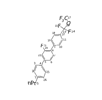 CCCc1ccc(-c2ccc(-c3ccc(C(F)(F)OC(F)(F)F)cc3)c(F)c2)cc1